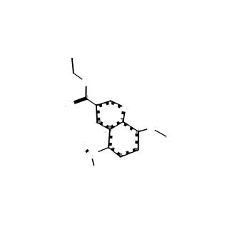 CCOC(=O)c1cnc2c(OC)ccc([N+](=O)[O-])c2c1